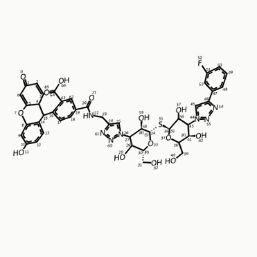 O=C1C=CC2C(=C1)Oc1cc(O)ccc1C2c1ccc(C(=O)NCc2cn(C3C(O)[C@@H](CO)O[C@@H](S[C@@H]4OC(CO)[C@H](O)C(n5cc(-c6cccc(F)c6)nn5)C4O)[C@@H]3O)nn2)cc1C(=O)O